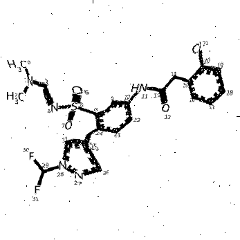 CN(C)/C=N/S(=O)(=O)c1cc(NC(=O)Cc2ccccc2Cl)ccc1-c1cnn(C(F)F)c1